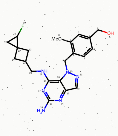 COc1cc(CO)ccc1Cn1ncc2nc(N)nc(NCC3CC4(C3)CC4F)c21